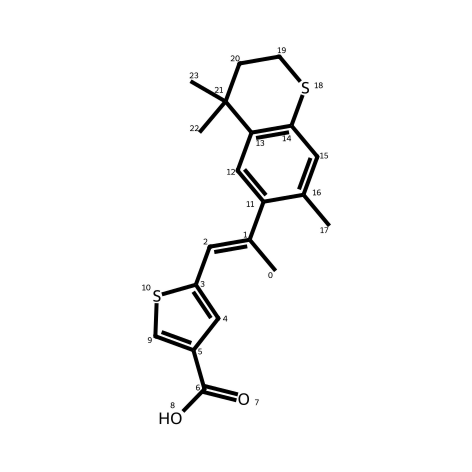 C/C(=C\c1cc(C(=O)O)cs1)c1cc2c(cc1C)SCCC2(C)C